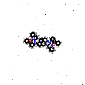 C1=CC(N(c2ccc3ccccc3n2)c2cccc3c2oc2ccccc23)C2=CCc3ccc(N(c4ccc5ccccc5n4)c4cccc5c4oc4ccccc45)c4ccc1c2c34